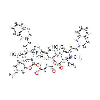 CC1=C(C(=O)OC(=O)/C=C/C(=O)OC(=O)C2=C(C)N(C)C(CCN3CCc4ccccc4C3)=C(C(=O)O)C2c2ccc(C(F)(F)F)cc2)C(c2ccc(C(F)(F)F)cc2)C(C(=O)O)=C(CCN2CCc3ccccc3C2)N1C